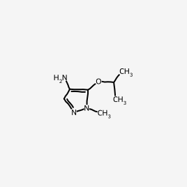 CC(C)Oc1c(N)cnn1C